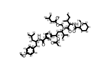 CCC(C)C(NC(=O)C1CCCCN1C)C(=O)N(COC(=O)CC(C)C)C(CC(OC(C)=O)c1nc(C(=O)NC(Cc2ccc(OC)cc2)CC(C)C)cs1)C(C)C